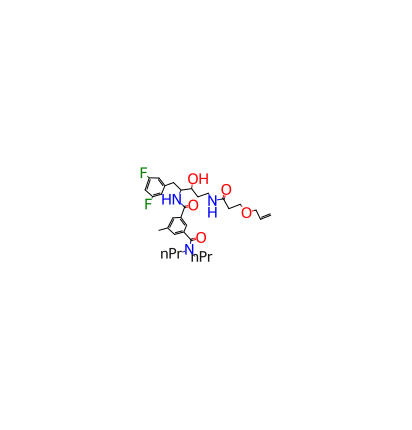 C=CCOCCC(=O)NCCC(O)C(Cc1cc(F)cc(F)c1)NC(=O)c1cc(C)cc(C(=O)N(CCC)CCC)c1